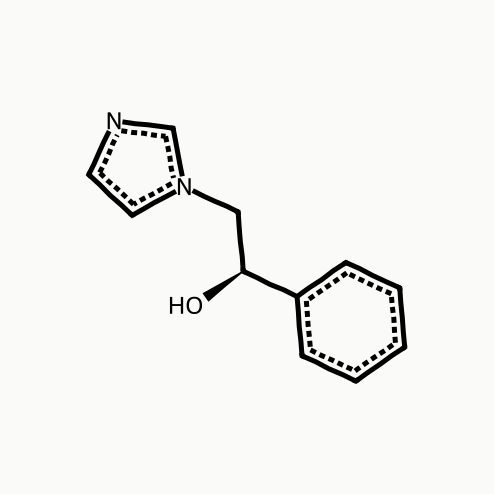 O[C@@H](Cn1ccnc1)c1ccccc1